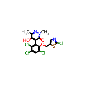 Cc1nn(C)c(=O)c(-c2c(Cl)c(Cl)cc(Cl)c2OCc2cnc(Cl)s2)c1O